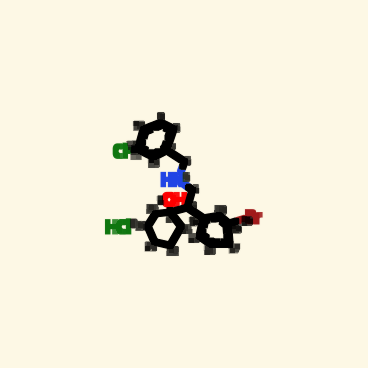 Cl.OC1(C(CNCc2cccc(Cl)c2)c2cccc(Br)c2)CCCCC1